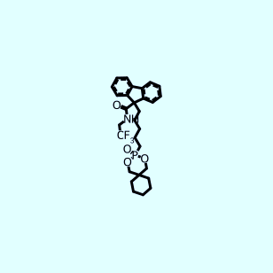 O=C(NCC(F)(F)F)C1(CCCCCP2(=O)OCC3(CCCCC3)CO2)c2ccccc2-c2ccccc21